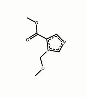 COCn1cncc1C(=O)OC